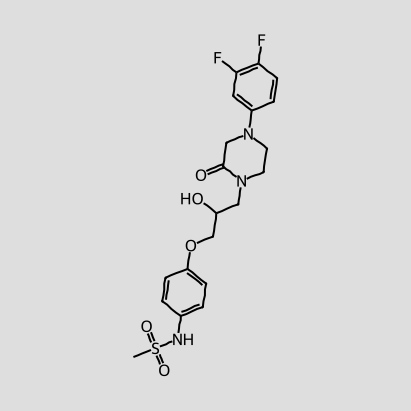 CS(=O)(=O)Nc1ccc(OCC(O)CN2CCN(c3ccc(F)c(F)c3)CC2=O)cc1